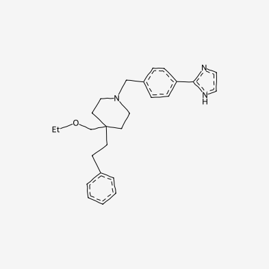 CCOCC1(CCc2ccccc2)CCN(Cc2ccc(-c3ncc[nH]3)cc2)CC1